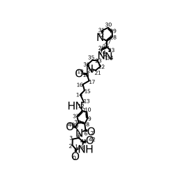 O=C1CCC(N2C(=O)c3ccc(NCCCCCC(=O)N4CCC(n5cc(-c6ccccn6)cn5)CC4)cc3C2=O)C(=O)N1